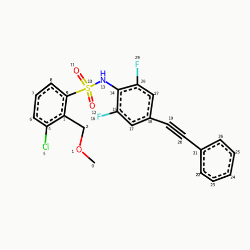 COCc1c(Cl)cccc1S(=O)(=O)Nc1c(F)cc(C#Cc2ccccc2)cc1F